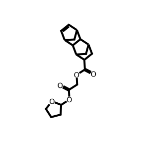 O=C(COC(=O)C1CC2CC1C1C3C=CC(C3)C21)OC1CCCO1